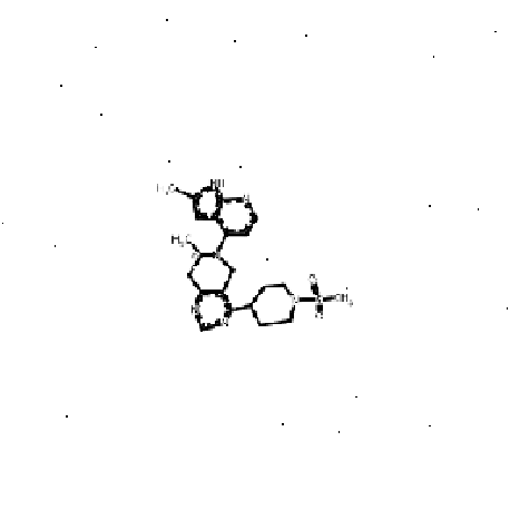 Cc1cc2c(N3Cc4c(ncnc4C4CCN(S(C)(=O)=O)CC4)C[C@H]3C)ccnc2[nH]1